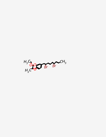 C=C(Oc1ccc(CC(Br)CCCC(Br)CCC)cc1)C(=O)OCC